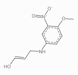 COc1ccc(NCC=CO)cc1[N+](=O)[O-]